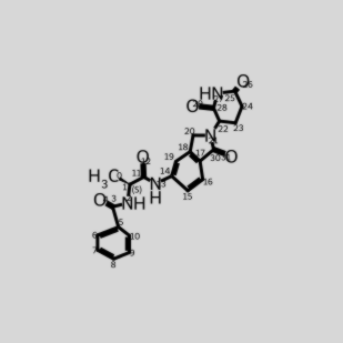 C[C@H](NC(=O)c1ccccc1)C(=O)Nc1ccc2c(c1)CN(C1CCC(=O)NC1=O)C2=O